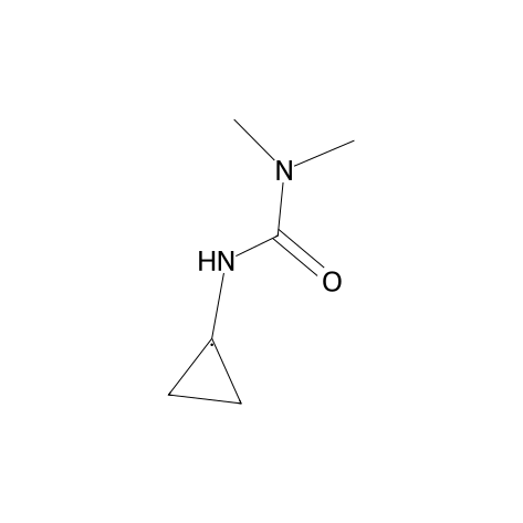 CN(C)C(=O)N[C]1CC1